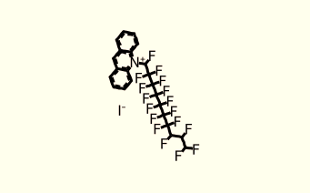 FC(F)C(F)C(F)C(F)(F)C(F)(F)C(F)(F)C(F)(F)C(F)(F)C(F)(F)C(F)[n+]1c2ccccc2cc2ccccc21.[I-]